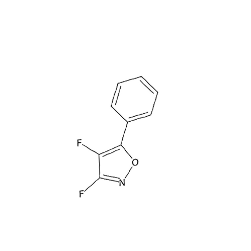 Fc1noc(-c2ccccc2)c1F